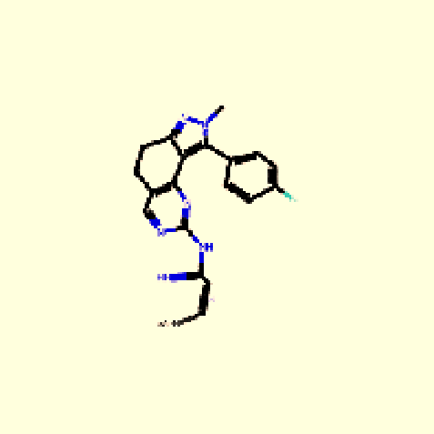 CN/C=C\C(=N)Nc1ncc2c(n1)-c1c(nn(C)c1-c1ccc(F)cc1)CC2